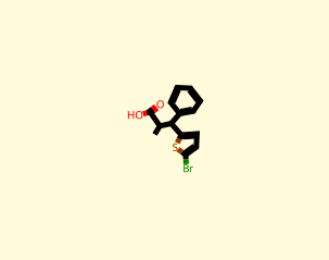 CC(C(=O)O)C(c1ccccc1)c1ccc(Br)s1